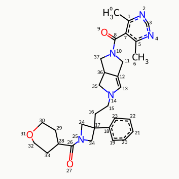 Cc1ncnc(C)c1C(=O)N1CC2=CN(CCC3(c4ccccc4)CN(C(=O)C4CCOCC4)C3)CC2C1